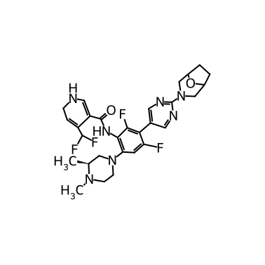 C[C@H]1CN(c2cc(F)c(-c3cnc(N4CC5CCC(C4)O5)nc3)c(F)c2NC(=O)C2=CNCC=C2C(F)F)CCN1C